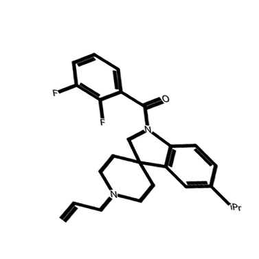 C=CCN1CCC2(CC1)CN(C(=O)c1cccc(F)c1F)c1ccc(C(C)C)cc12